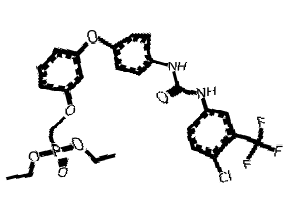 CCOP(=O)(COc1cccc(Oc2ccc(NC(=O)Nc3ccc(Cl)c(C(F)(F)F)c3)cc2)c1)OCC